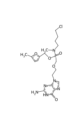 Cc1ccc(COP(=O)(COCCn2cnc3c(=O)[nH]c(N)nc32)N(C)CCCCCl)o1